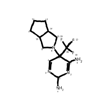 NC1=NC(N)N=CC1(N1CC2CCCC2C1)C(F)(F)F